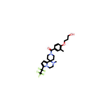 Cc1cc(C(=O)N2CCC3(CC2)c2ccc(C(F)(F)C(F)(F)F)n2CCN3C)ccc1OCCCO